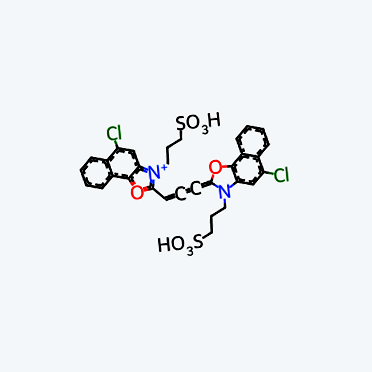 O=S(=O)(O)CCCN1C(=C=C=Cc2oc3c4ccccc4c(Cl)cc3[n+]2CCCS(=O)(=O)O)Oc2c1cc(Cl)c1ccccc21